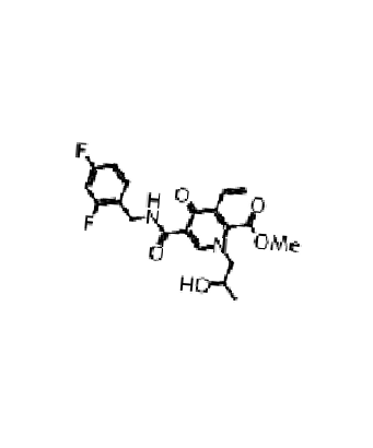 C=Cc1c(C(=O)OC)n(CC(C)O)cc(C(=O)NCc2ccc(F)cc2F)c1=O